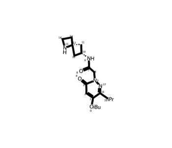 CC(C)COc1cc(=O)n(CC(=O)N[C@H]2C[C@]3(CCN3)C2)nc1C(C)C